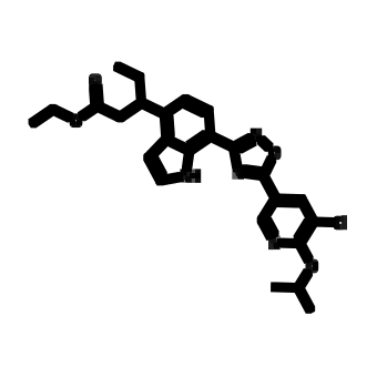 CCOC(=O)CC(CC)c1ccc(-c2noc(-c3cnc(OC(C)C)c(Cl)c3)n2)c2[nH]ccc12